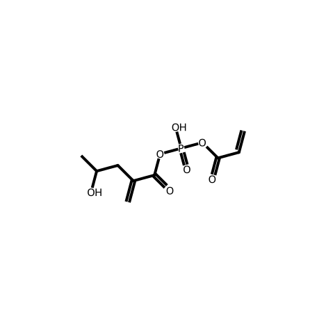 C=CC(=O)OP(=O)(O)OC(=O)C(=C)CC(C)O